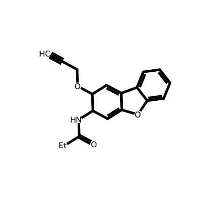 C#CCOC1C=c2c(oc3ccccc23)=CC1NC(=O)CC